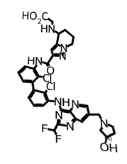 O=C(O)CNC1CCCn2nc(C(=O)Nc3cccc(-c4cccc(Nc5nc(C(F)F)nc6cc(CN7CC[C@@H](O)C7)cnc56)c4Cl)c3Cl)cc21